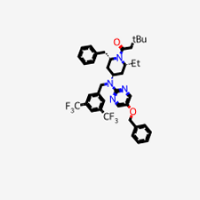 CC[C@@H]1C[C@H](N(Cc2cc(C(F)(F)F)cc(C(F)(F)F)c2)c2ncc(OCc3ccccc3)cn2)C[C@H](Cc2ccccc2)N1C(=O)CC(C)(C)C